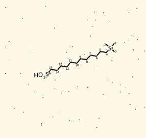 C[Si](C)(C)CCCCCCCCCCCCS(=O)(=O)O